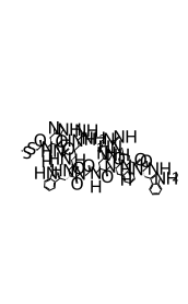 CSSCC(=O)N[C@@H](Cc1c[nH]cn1)C(=O)NC(=O)N[C@@H](CCCNC(=N)N)C(=O)N[C@@H](Cc1c[nH]c2ccccc12)C(=O)NCC(=O)N[C@@H](Cc1c[nH]cn1)C(=O)N[C@H](Cc1ccccc1)C(=O)N[C@@H](CCCNC(=N)N)C(=O)N[C@@H](Cc1c[nH]c2ccccc12)C(N)=O